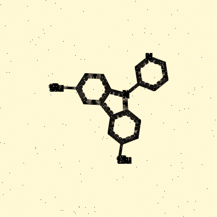 CC(C)(C)c1ccc2c(c1)c1cc(C(C)(C)C)ccc1n2-c1cccnc1